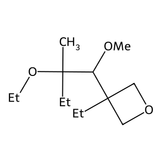 CCOC(C)(CC)C(OC)C1(CC)COC1